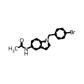 CC(=O)Nc1ccc2c(ccn2Cc2ccc(Br)cc2)c1